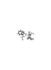 CCCN[C@@H](CCc1nc2ccccc2n1CCC)C(=O)NO